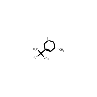 C[C@@H]1C=C(C(C)(C)C)CNC1